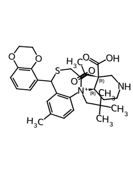 CC(=O)[C@@]1(C(=O)O)CNCC[C@H]1[N+]1(CC(C)(C)C)C(=O)CSC(c2cccc3c2OCCO3)c2cc(C)ccc21